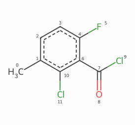 Cc1ccc(F)c(C(=O)Cl)c1Cl